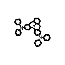 c1ccc(N(c2ccccc2)c2ccc3c(c2)Cc2cccc4c2B3c2ccc(N(c3ccccc3)c3ccccc3)cc2C4)cc1